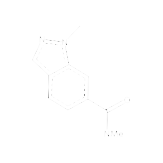 CNC(=O)c1c[c]c2cnn(C)c2c1